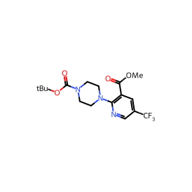 COC(=O)c1cc(C(F)(F)F)cnc1N1CCN(C(=O)OC(C)(C)C)CC1